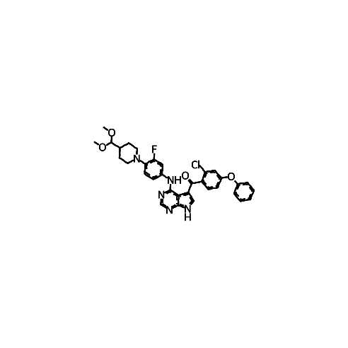 COC(OC)C1CCN(c2ccc(Nc3ncnc4[nH]cc(C(=O)c5ccc(Oc6ccccc6)cc5Cl)c34)cc2F)CC1